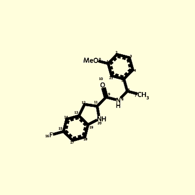 COc1cccc(C(C)NC(=O)C2Cc3cc(F)ccc3N2)c1